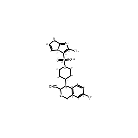 O=CC1OCc2cc(Br)ccc2N1C1CCN(S(=O)(=O)c2c(Cl)nc3sccn23)CC1